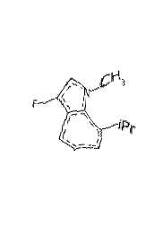 CC(C)c1cccc2c(F)cn(C)c12